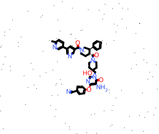 Cc1ccc(-c2cncc(C(=O)N3CC[C@@H](C(=O)N4CCC(O)(Cn5cnc(Oc6ccc(C#N)cc6)c(N)c5=O)CC4)[C@H](c4ccccc4)C3)c2)cn1